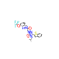 CC(C)Cn1c(-c2cc3ccccc3s2)nn(CC(=O)NCc2cccc(OC(F)(F)F)c2)c1=O